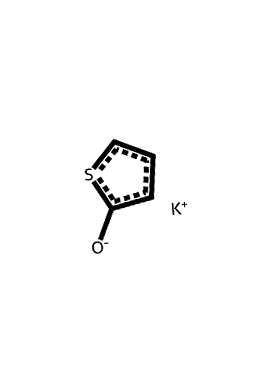 [K+].[O-]c1cccs1